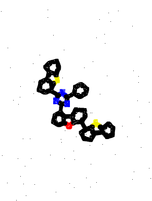 c1ccc(-c2nc(-c3cccc4c3sc3ccccc34)nc(-c3cccc4oc5c(-c6cccc7c6sc6ccccc67)cccc5c34)n2)cc1